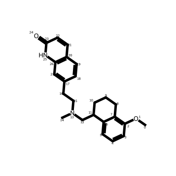 COc1cccc2c1CCCC2CN(C)CCc1ccc2ccc(=O)[nH]c2c1